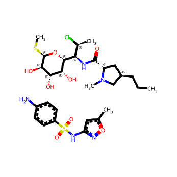 CCC[C@@H]1C[C@@H](C(=O)N[C@@H]([C@H]2O[C@H](SC)[C@H](O)[C@@H](O)[C@H]2O)[C@H](C)Cl)N(C)C1.Cc1cc(NS(=O)(=O)c2ccc(N)cc2)no1